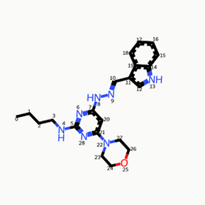 CCCCNc1nc(NN=Cc2c[nH]c3ccccc23)cc(N2CCOCC2)n1